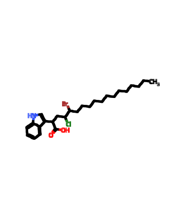 CCCCCCCCCCCCCC(Br)C(Cl)CC(C(=O)O)c1c[nH]c2ccccc12